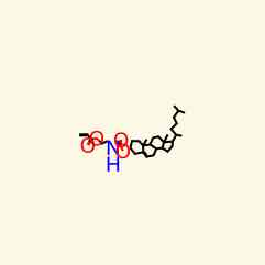 C=CC(=O)OCCNC(=O)OC1CCC2(C)C(=CCC3C2CCC2(C)C(C(C)CCCC(C)C)CCC32)C1